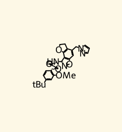 COc1cc(C(C)(C)C)ccc1S(=O)(=O)Nc1noc2cc(Cn3cccn3)c3c(c12)OCC3